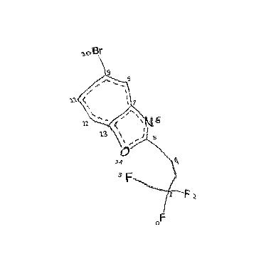 FC(F)(F)Cc1nc2cc(Br)ccc2o1